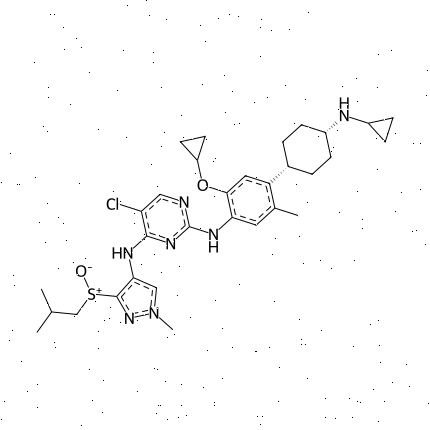 Cc1cc(Nc2ncc(Cl)c(Nc3cn(C)nc3[S+]([O-])CC(C)C)n2)c(OC2CC2)cc1[C@H]1CC[C@@H](NC2CC2)CC1